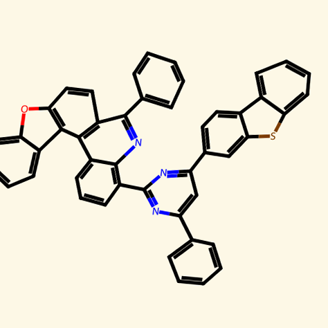 c1ccc(-c2cc(-c3ccc4c(c3)sc3ccccc34)nc(-c3cccc4c3nc(-c3ccccc3)c3ccc5oc6ccccc6c5c34)n2)cc1